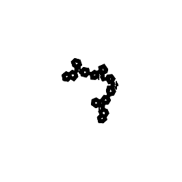 CN(c1ccc(-c2ccc3c(c2)c2ccccc2n3-c2ccc3ccccc3c2)cc1)c1cccc(Cn2c3ccccc3c3cc(-c4ccc(N(c5ccccc5)c5ccc6ccccc6c5)cc4)ccc32)c1